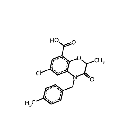 Cc1ccc(CN2C(=O)C(C)Oc3c(C(=O)O)cc(Cl)cc32)cc1